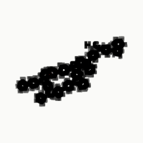 CN(c1ccc(-c2cccc3ccccc23)cc1)c1ccc(-n2c3ccccc3c3c(-c4cc5c6ccccc6n(-c6ccc(-c7ccc(CN(c8ccccc8)c8ccc9c%10ccccc%10n(-c%10ccc(-c%11ccccc%11)cc%10)c9c8)cc7)cc6)c5cc4N(C)c4ccc(-c5ccccc5)cc4)cccc32)cc1